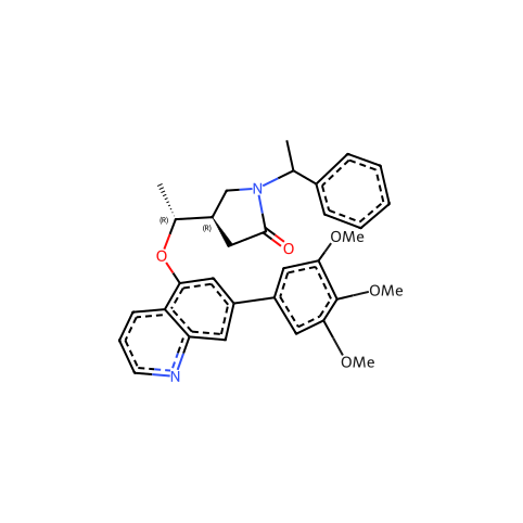 COc1cc(-c2cc(O[C@H](C)[C@@H]3CC(=O)N(C(C)c4ccccc4)C3)c3cccnc3c2)cc(OC)c1OC